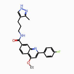 CCOc1cc(-c2ccc(F)cc2)nc2cc(C(=O)NCCCc3c[nH]nc3C)ccc12